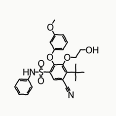 COc1cccc(Oc2c(S(=O)(=O)Nc3ccccc3)cc(C#N)c(C(C)(C)C)c2OCCO)c1